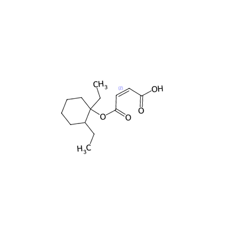 CCC1CCCCC1(CC)OC(=O)/C=C\C(=O)O